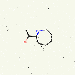 CC([O])C1CCCCCN1